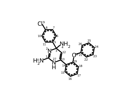 NC1=NC(N)(c2ccc(Cl)cc2)C=C(c2ccccc2Oc2ccccc2)N1